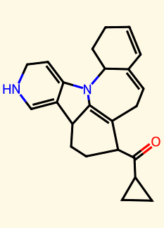 O=C(C1CC1)C1CCC2C3=CNCC=C3N3C2=C1CC=C1C=CCCC13